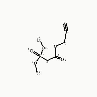 C#CCOC(=O)CP(=O)(OCC)OCC